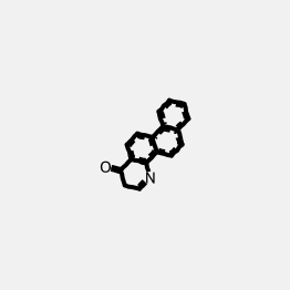 O=C1CC=Nc2c1ccc1c2ccc2ccccc21